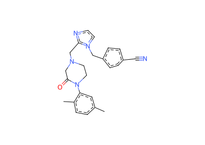 Cc1ccc(C)c(N2CCN(Cc3nccn3Cc3ccc(C#N)cc3)CC2=O)c1